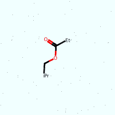 C[CH]C(=O)OCC(C)C